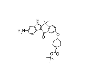 CC(C)(C)OC(=O)N1CCC(Oc2ccc3c(c2)C(=O)c2c([nH]c4cc(N)ccc24)C3(C)C)CC1